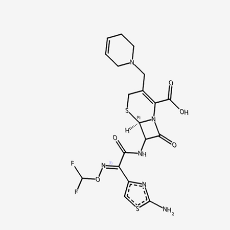 Nc1nc(/C(=N\OC(F)F)C(=O)NC2C(=O)N3C(C(=O)O)=C(CN4CC=CCC4)CS[C@H]23)cs1